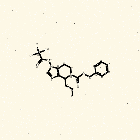 CCCC1c2ncn(OC(=O)C(F)(F)F)c2CCN1C(=O)OCc1ccccc1